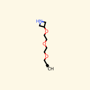 C#CCOCCOCCOC1CNC1